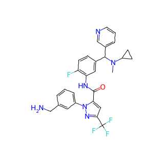 CN(C1CC1)C(c1cccnc1)c1ccc(F)c(NC(=O)c2cc(C(F)(F)F)nn2-c2cccc(CN)c2)c1